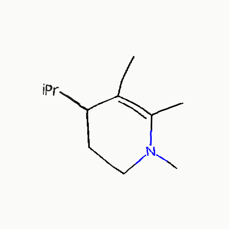 CC1=C(C)N(C)CCC1C(C)C